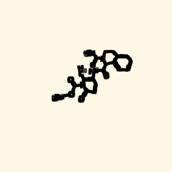 Cc1c(NC(=O)C2c3ccccc3CCN2C(=O)C(C)(C)C)ccc(=O)n1C(=O)OC(C)(C)C